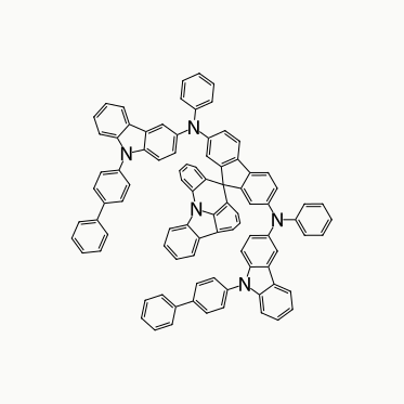 c1ccc(-c2ccc(-n3c4ccccc4c4cc(N(c5ccccc5)c5ccc6c(c5)C5(c7cc(N(c8ccccc8)c8ccc9c(c8)c8ccccc8n9-c8ccc(-c9ccccc9)cc8)ccc7-6)c6ccccc6-n6c7ccccc7c7cccc5c76)ccc43)cc2)cc1